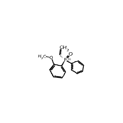 C=C[P@](=O)(c1ccccc1)c1ccccc1OC